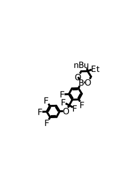 CCCCC1(CC)COB(c2cc(F)c(C(F)(F)Oc3cc(F)c(F)c(F)c3)c(F)c2)OC1